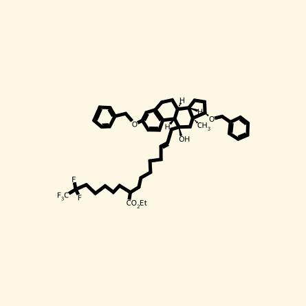 CCOC(=O)C(CCCCC/C=C/C[C@@]1(O)C[C@]2(C)[C@@H](OCc3ccccc3)CC[C@H]2[C@@H]2CCc3cc(OCc4ccccc4)ccc3[C@H]21)CCCCCC(F)(F)C(F)(F)F